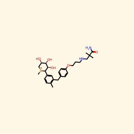 Cc1ccc(C2[C@H](O)[C@H](O)[C@H](O)C[SH]2C)cc1Cc1ccc(OCCCNCC(C)(C)C(N)=O)cc1